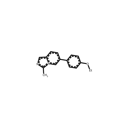 CCOc1ccc(-c2ccc3cnc(C)n3c2)cc1